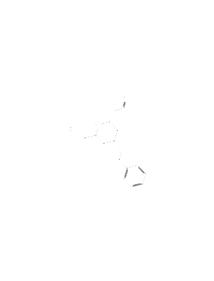 C=CC[C@@H]1CC(OCc2ccccc2)CC(CC(C)=O)O1